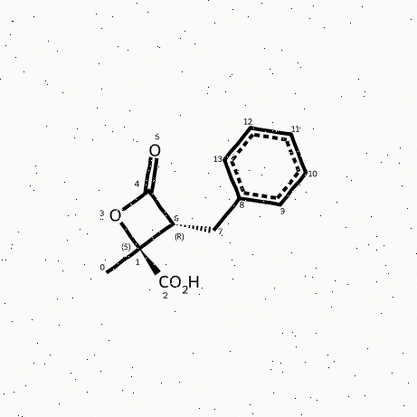 C[C@]1(C(=O)O)OC(=O)[C@@H]1Cc1ccccc1